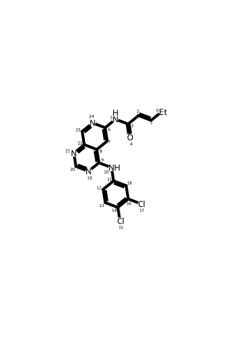 CC/C=C/C(=O)Nc1cc2c(Nc3ccc(Cl)c(Cl)c3)ncnc2cn1